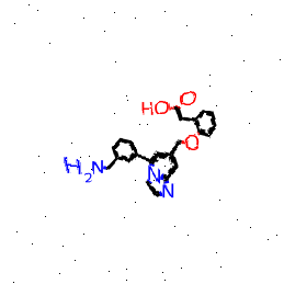 NCc1cccc(-c2cc(COc3ccccc3CC(=O)O)cc3nccn23)c1